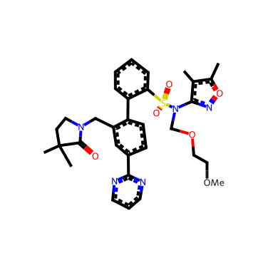 COCCOCN(c1noc(C)c1C)S(=O)(=O)c1ccccc1-c1ccc(-c2ncccn2)cc1CN1CCC(C)(C)C1=O